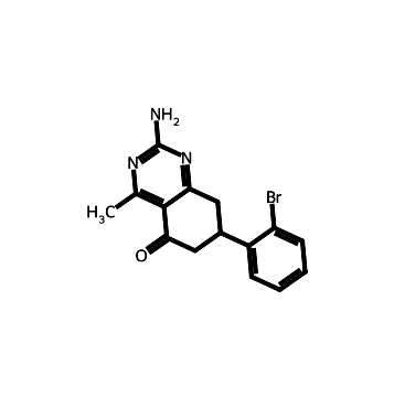 Cc1nc(N)nc2c1C(=O)CC(c1ccccc1Br)C2